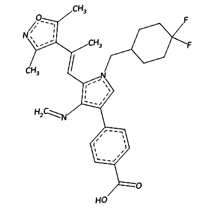 C=Nc1c(-c2ccc(C(=O)O)cc2)cn(CC2CCC(F)(F)CC2)c1/C=C(\C)c1c(C)noc1C